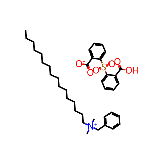 CCCCCCCCCCCCCCCC[N+](C)(C)Cc1ccccc1.O=C([O-])c1ccccc1S(=O)(=O)c1ccccc1C(=O)O